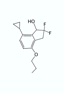 CCCOc1ccc(C2CC2)c2c1CC(F)(F)C2O